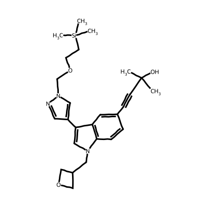 CC(C)(O)C#Cc1ccc2c(c1)c(-c1cnn(COCC[Si](C)(C)C)c1)cn2CC1COC1